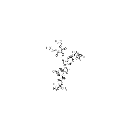 CCOC(=O)C(OC[C@H]1O[C@@H](n2cnc3c(NC(=O)OC(C)(C)C)nc(Cl)nc32)[C@@H](F)[C@@H]1OC(=O)OC(C)(C)C)C(=O)OCC